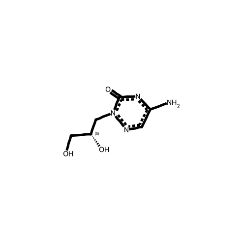 Nc1cnn(C[C@H](O)CO)c(=O)n1